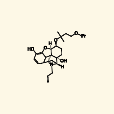 C=CCN1CC[C@@]23C4C5=C(O)C=CC4C[C@@H]1[C@]2(O)CC[C@H](OC(C)(C)CCOC(C)C)[C@@H]3O5